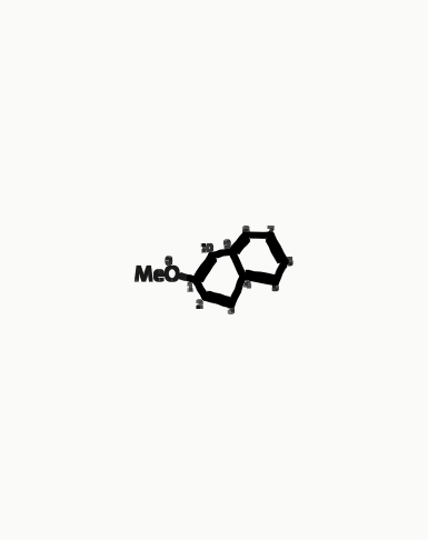 COc1ccc2c[c]ccc2c1